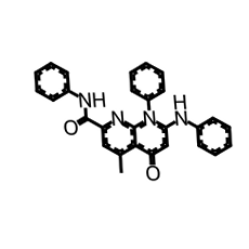 Cc1cc(C(=O)Nc2ccccc2)nc2c1c(=O)cc(Nc1ccccc1)n2-c1ccccc1